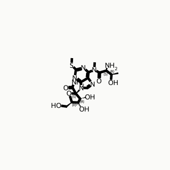 CSc1nc(N(C)C(=O)[C@@H](N)[C@@H](C)O)c2ncn([C@]3(C(N)=O)O[C@H](CO)[C@@H](O)[C@H]3O)c2n1